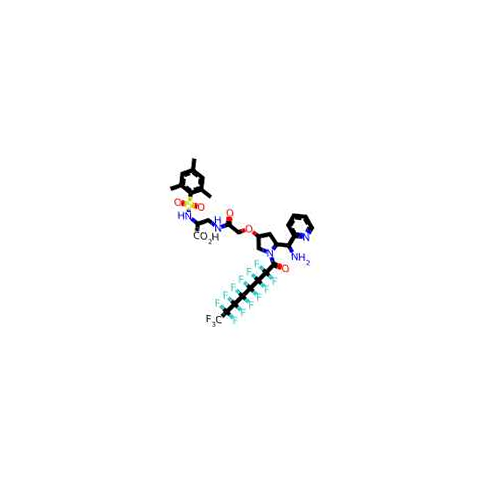 Cc1cc(C)c(S(=O)(=O)NC(CNC(=O)COC2CC(C(N)c3ccccn3)N(C(=O)C(F)(F)C(F)(F)C(F)(F)C(F)(F)C(F)(F)C(F)(F)C(F)(F)F)C2)C(=O)O)c(C)c1